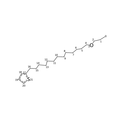 CCCOCCCCCCCCCCCCCc1cccs1